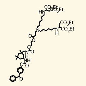 CCOC(=O)CC(NCCCCCCN(CCCCCCNC(CC(=O)OCC)C(=O)OCC)CCC(=O)OCCOC(=O)NCC1(C)CC(NC(=O)Oc2ccc(C(=O)c3ccccc3)cc2)CC(C)(C)C1)C(=O)OCC